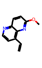 C=Cc1ccnc2ccc(OC)nc12